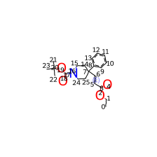 CCOC(=O)/C=C/C1(c2ccccc2)CCN(C(=O)OC(C)(C)C)CC1